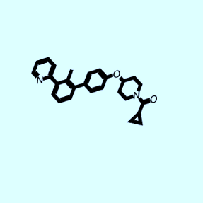 Cc1c(-c2ccc(OC3CCN(C(=O)C4CC4)CC3)cc2)cccc1-c1ccccn1